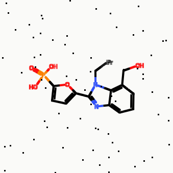 CC(C)Cn1c(-c2ccc(P(=O)(O)O)o2)nc2cccc(CO)c21